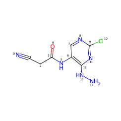 N#CCC(=O)Nc1cnc(Cl)nc1NN